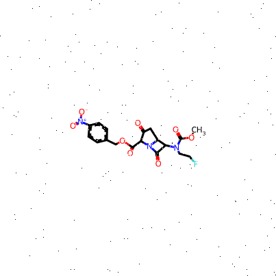 COC(=O)N(CCF)C1C(=O)N2C(C(=O)OCc3ccc([N+](=O)[O-])cc3)C(=O)CC12